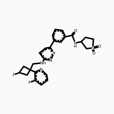 O=C(NC1CCS(=O)(=O)C1)c1cccc(-c2ccc(NCC3(c4ncccc4F)CC(F)C3)nn2)c1